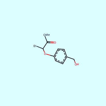 CCC(Oc1ccc(CO)cc1)C(=O)OC